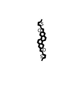 Cc1ccc(-c2cc3cc4ccc5c6cc7oc(-c8ccc(C)s8)cc7cc6ccc5c4cc3o2)s1